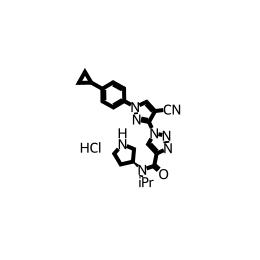 CC(C)N(C(=O)c1cn(-c2nn(-c3ccc(C4CC4)cc3)cc2C#N)nn1)[C@H]1CCNC1.Cl